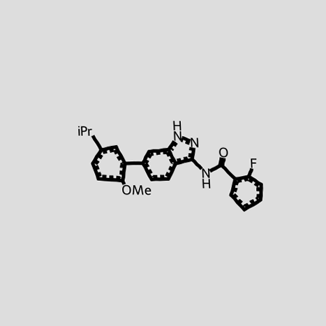 COc1ccc(C(C)C)cc1-c1ccc2c(NC(=O)c3ccccc3F)n[nH]c2c1